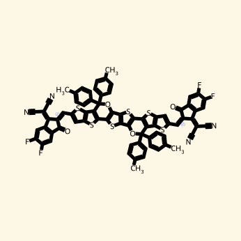 Cc1ccc(C2(c3ccc(C)cc3)Oc3c(sc4c5c(sc34)-c3sc4cc(/C=C6\C(=O)c7cc(F)c(F)cc7C6=C(C#N)C#N)sc4c3C(c3ccc(C)cc3)(c3ccc(C)cc3)O5)-c3sc4cc(/C=C5\C(=O)c6cc(F)c(F)cc6C5=C(C#N)C#N)sc4c32)cc1